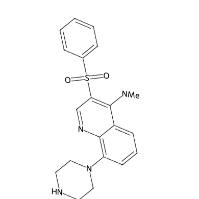 CNc1c(S(=O)(=O)c2ccccc2)cnc2c(N3CCNCC3)cccc12